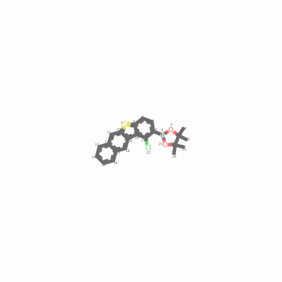 CC1(C)OB(c2ccc3sc4cc5ccccc5cc4c3c2Cl)OC1(C)C